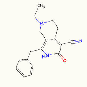 CCN1CCc2c(c(Cc3ccccc3)[nH]c(=O)c2C#N)C1